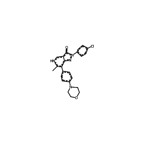 Cc1[nH]cc2c(=O)n(-c3ccc(Cl)cc3)nc-2c1-c1ccc(N2CCOCC2)cc1